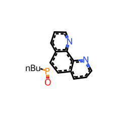 CCCCP=O.c1cnc2c(c1)ccc1cccnc12